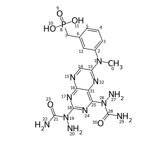 CN(c1cccc(CP(=O)(O)O)c1)c1cnc2nc(N(N)C(N)=O)nc(N(N)C(N)=O)c2n1